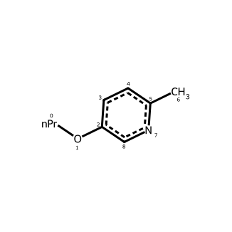 [CH2]CCOc1ccc(C)nc1